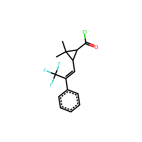 CC1(C)C(C=C(c2ccccc2)C(F)(F)F)C1C(=O)Cl